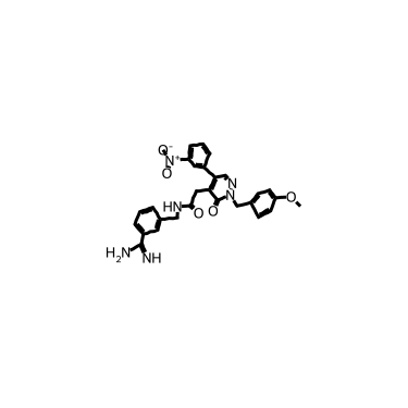 COc1ccc(Cn2ncc(-c3cccc([N+](=O)[O-])c3)c(CC(=O)NCc3cccc(C(=N)N)c3)c2=O)cc1